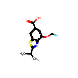 CC(C)c1nc2c(OCF)cc(C(=O)O)cc2s1